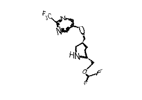 FC(F)OC[C@@H]1C[C@H](Oc2cnc(C(F)(F)F)nc2)CN1